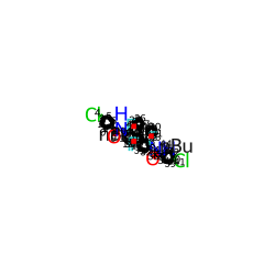 CCCCc1cc(Cl)ccc1C(=O)Nc1ccc(F)[c]([Ti]([C]2=CC=CC2)([C]2=CC=CC2)[c]2c(F)ccc(NC(=O)c3ccc(Cl)cc3CCCC)c2F)c1F